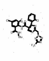 Cc1cc(Cl)cc(C(=O)NC(C)(C)C)c1NC(=O)c1cnc(Cn2nnc(C(F)(F)F)n2)nc1-c1ccccc1Cl